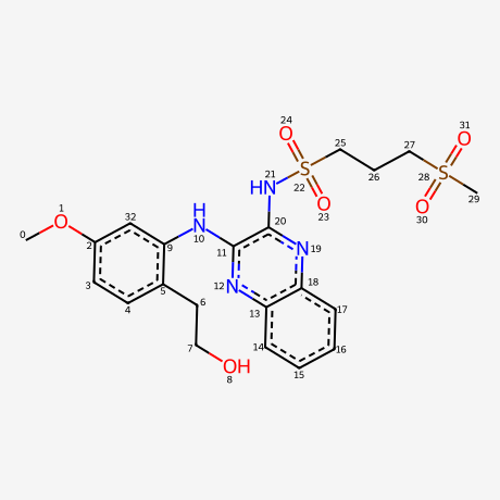 COc1ccc(CCO)c(Nc2nc3ccccc3nc2NS(=O)(=O)CCCS(C)(=O)=O)c1